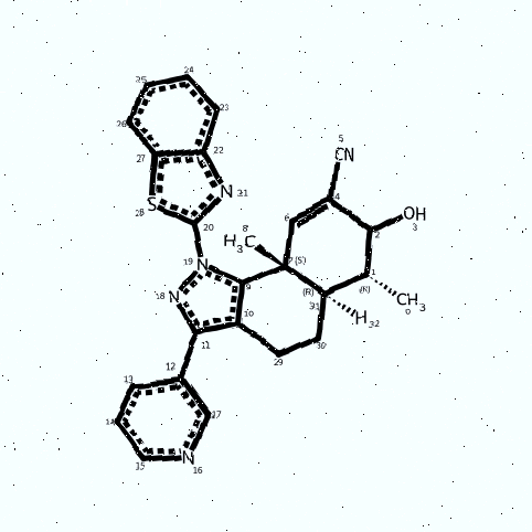 C[C@H]1C(O)C(C#N)=C[C@@]2(C)c3c(c(-c4cccnc4)nn3-c3nc4ccccc4s3)CC[C@H]12